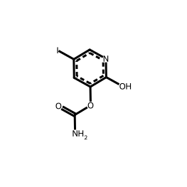 NC(=O)Oc1cc(I)cnc1O